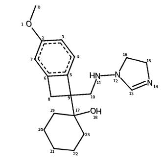 COc1ccc2c(c1)CC2(CNN1C=NCC1)C1(O)CCCCC1